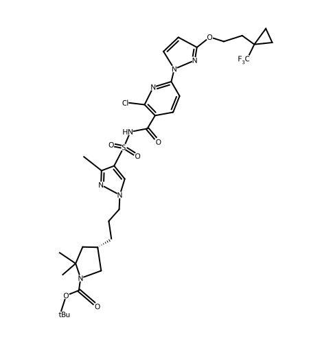 Cc1nn(CCC[C@@H]2CN(C(=O)OC(C)(C)C)C(C)(C)C2)cc1S(=O)(=O)NC(=O)c1ccc(-n2ccc(OCCC3(C(F)(F)F)CC3)n2)nc1Cl